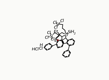 CCC1=Cc2c(-c3ccccc3)cccc2[CH]1[Zr](=[SiH2])([CH2]CC[Si](Cl)(Cl)Cl)([CH2]CC[Si](Cl)(Cl)Cl)[CH]1C(CC)=Cc2c(-c3ccccc3)cccc21.Cl.Cl